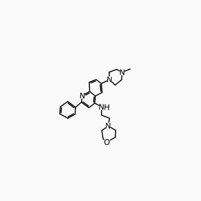 CN1CCN(c2ccc3nc(-c4ccccc4)cc(NCCN4CCOCC4)c3c2)CC1